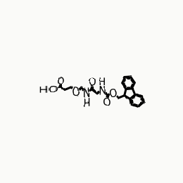 O=C(O)CCOCNC(=O)CNC(=O)OCC1c2ccccc2-c2ccccc21